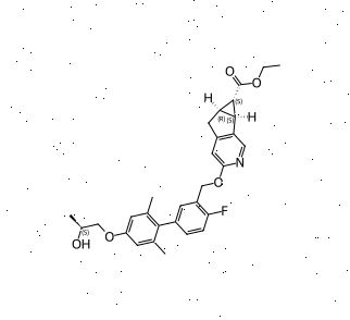 CCOC(=O)[C@H]1[C@@H]2Cc3cc(OCc4cc(-c5c(C)cc(OC[C@H](C)O)cc5C)ccc4F)ncc3[C@@H]21